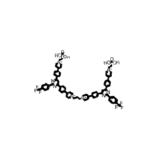 O=P(O)(O)CC[n+]1ccc(-c2ccc(-c3cc(-c4ccc(-c5cc[n+](CCC[n+]6ccc(-c7ccc(-c8cc(-c9ccc(-c%10cc[n+](CCP(=O)(O)O)cc%10)cc9)nc(-c9ccc(C(F)(F)F)cc9)n8)cc7)cc6)cc5)cc4)nc(-c4ccc(C(F)(F)F)cc4)n3)cc2)cc1